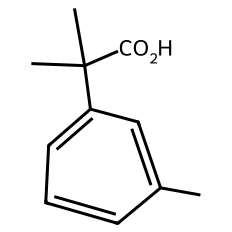 Cc1cccc(C(C)(C)C(=O)O)c1